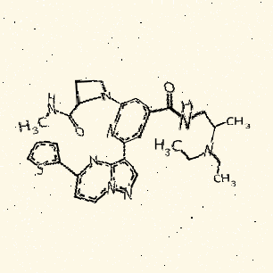 CCN(CC)C(C)CNC(=O)c1cc(-c2cnn3ccc(-c4cccs4)nc23)nc(N2CCC2C(=O)NC)c1